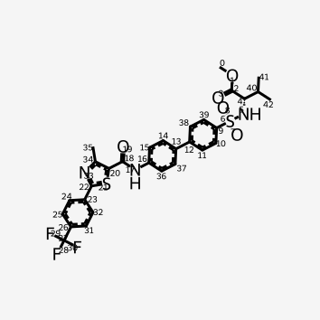 COC(=O)[C@@H](NS(=O)(=O)c1ccc(-c2ccc(NC(=O)c3sc(-c4ccc(C(F)(F)F)cc4)nc3C)cc2)cc1)C(C)C